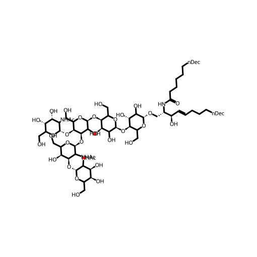 CCCCCCCCCCCCC/C=C/[C@@H](O)[C@H](CO[C@@H]1OC(CO)[C@@H](O[C@@H]2OC(CO)[C@H](O[C@@H]3OC(CO)[C@H](O[C@@H]4OC(CO)[C@H](O)[C@H](O)C4NC(C)=O)[C@H](O[C@@H]4OC(CO)[C@H](O)[C@H](O[C@H]5OC(CO)[C@H](O)[C@H](O)C5NC(C)=O)C4NC(C)=O)C3O)[C@H](O)C2O)[C@H](O)C1O)NC(=O)CCCCCCCCCCCCCCC